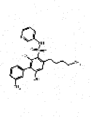 CCCCCc1cc(O)c(-c2cccc(C)c2)c(O)c1S(=O)(=O)Nc1cccnc1